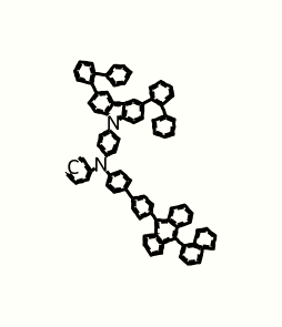 c1ccc(-c2ccccc2-c2ccc3c(c2)c2cc(-c4ccccc4-c4ccccc4)ccc2n3-c2ccc(N(c3ccccc3)c3ccc(-c4ccc(-c5c6ccccc6c(-c6cccc7ccccc67)c6ccccc56)cc4)cc3)cc2)cc1